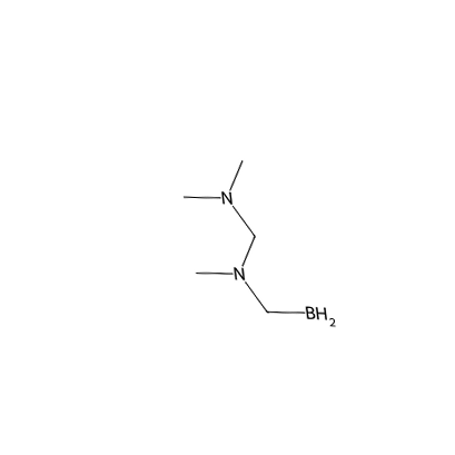 BCN(C)CN(C)C